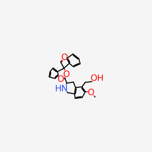 COc1ccc2c(c1CCO)CC(C(=O)OC(C=O)(c1ccccc1)c1ccccc1)NC2